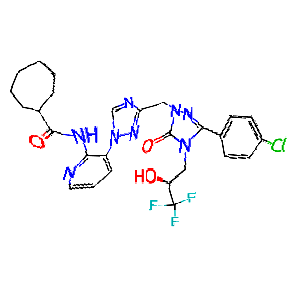 O=C(Nc1ncccc1-n1cnc(Cn2nc(-c3ccc(Cl)cc3)n(C[C@H](O)C(F)(F)F)c2=O)n1)C1CCCCCC1